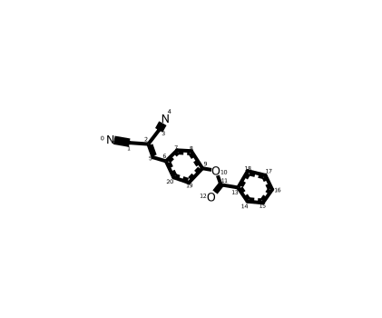 N#CC(C#N)=Cc1ccc(OC(=O)c2ccccc2)cc1